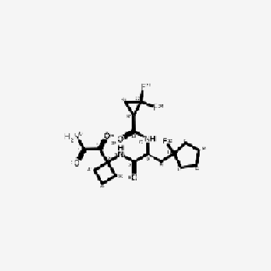 NC(=O)C(=O)C1(NC(=O)[C@H](CC2(F)CCCC2)NC(=O)C2CC2(F)F)CCC1